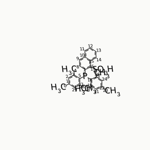 Cc1cc(C)c(P(c2ccc3ccccc3c2S(=O)(=O)O)c2c(C)cc(C)cc2C)c(C)c1